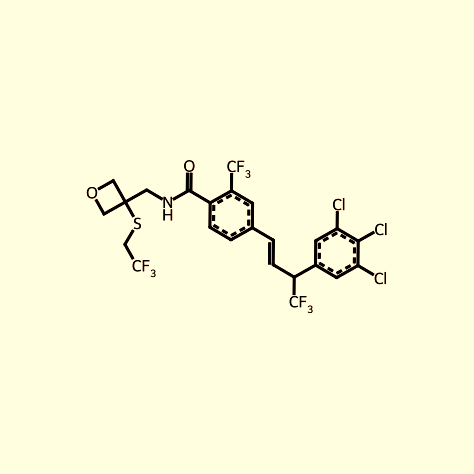 O=C(NCC1(SCC(F)(F)F)COC1)c1ccc(/C=C/C(c2cc(Cl)c(Cl)c(Cl)c2)C(F)(F)F)cc1C(F)(F)F